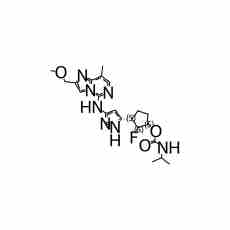 COCc1cn2c(Nc3cc([C@@H]4CC[C@H](OC(=O)NC(C)C)[C@H]4F)[nH]n3)ncc(C)c2n1